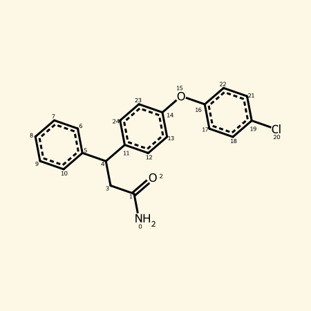 NC(=O)CC(c1ccccc1)c1ccc(Oc2ccc(Cl)cc2)cc1